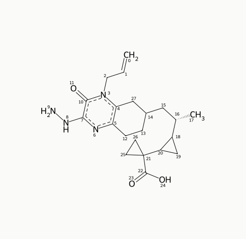 C=CCn1c2c(nc(NN)c1=O)CCC(C[C@H](C)C1CC1C1(C(=O)O)CC1)C2